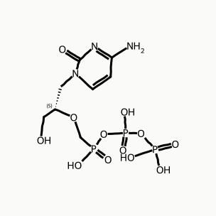 Nc1ccn(C[C@@H](CO)OCP(=O)(O)OP(=O)(O)OP(=O)(O)O)c(=O)n1